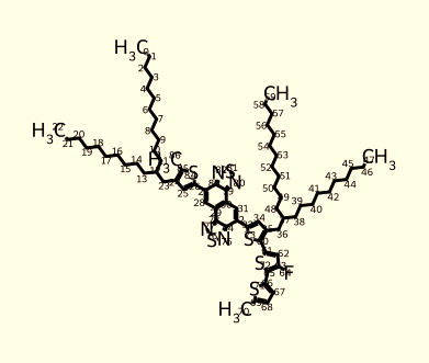 CCCCCCCCCCCCC(CCCCCCCCCC)Cc1cc(-c2cc3c(cc(-c4cc(CC(CCCCCCCCCC)CCCCCCCCCCCC)c(-c5cc(F)c(-c6ccc(C)s6)s5)s4)c4nsnc43)c3nsnc23)sc1C